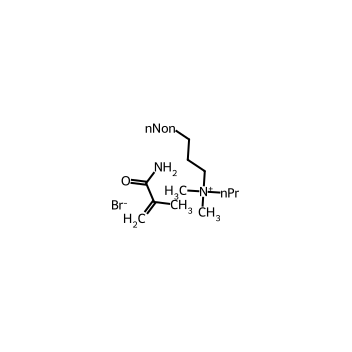 C=C(C)C(N)=O.CCCCCCCCCCCC[N+](C)(C)CCC.[Br-]